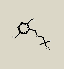 Cc1ccc([N+](=O)[O-])c(COCC(F)(F)C(F)(F)F)c1